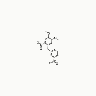 COc1cc(Cc2cc[c]c([N+](=O)[O-])c2)c([N+](=O)[O-])cc1OC